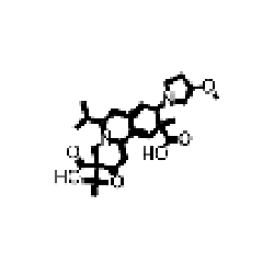 CO[C@@H]1CCN(C2C=C3CC(C(C)C)N4CC(C(=O)O)(C(C)(C)C)C(=O)CC4C3=CC2(C)C(=O)O)C1